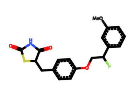 COc1cccc(C(F)COc2ccc(CC3SC(=O)NC3=O)cc2)c1